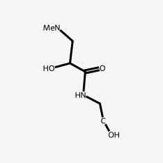 CNCC(O)C(=O)NCCO